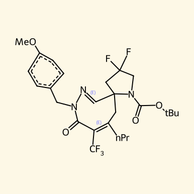 CCC/C1=C(\C(F)(F)F)C(=O)N(Cc2ccc(OC)cc2)/N=C/C2(C1)CC(F)(F)CN2C(=O)OC(C)(C)C